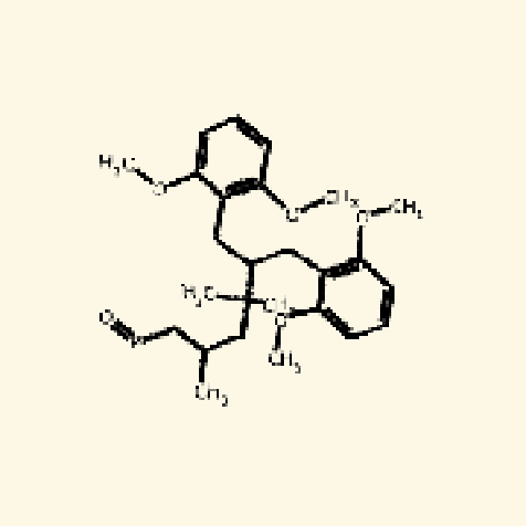 COc1cccc(OC)c1CC(Cc1c(OC)cccc1OC)C(C)(C)CC(C)CP=O